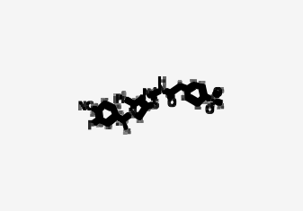 CC(C)C1c2nc(NC(=O)Cc3ccc(S(C)(=O)=O)cc3)sc2CN1[C@@H](C)c1ccc(C#N)c(F)c1